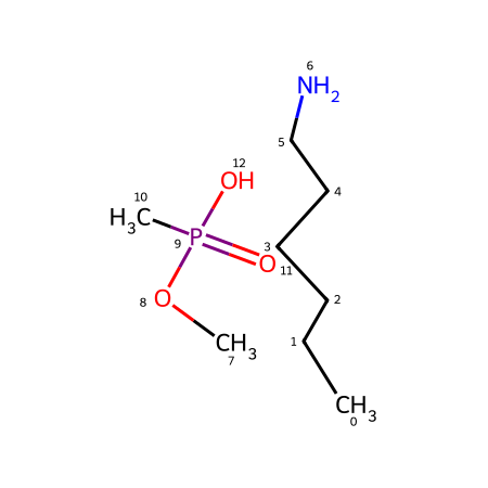 CCCCCCN.COP(C)(=O)O